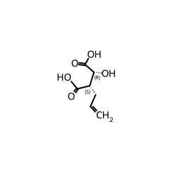 C=CC[C@H](C(=O)O)[C@@H](O)C(=O)O